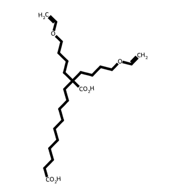 C=COCCCCC(CCCCCCCCCC(=O)O)(CCCCOC=C)C(=O)O